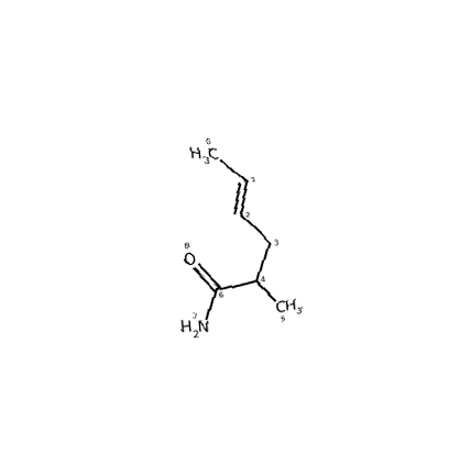 C/C=C/CC(C)C(N)=O